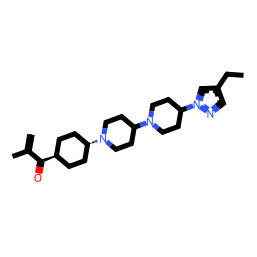 C=C(C)C(=O)[C@H]1CC[C@H](N2CCC(N3CCC(n4cc(CC)cn4)CC3)CC2)CC1